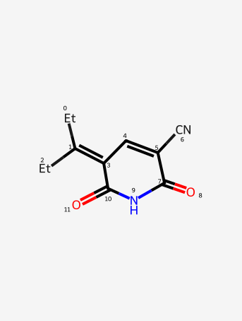 CCC(CC)=C1C=C(C#N)C(=O)NC1=O